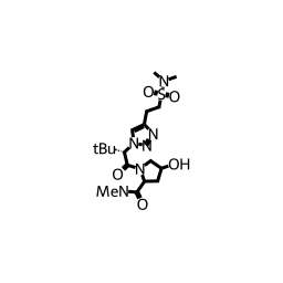 CNC(=O)C1CC(O)CN1C(=O)[C@@H](n1cc(CCS(=O)(=O)N(C)C)nn1)C(C)(C)C